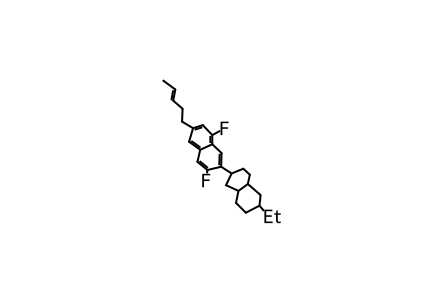 C/C=C/CCc1cc(F)c2cc(C3CCC4CC(CC)CCC4C3)c(F)cc2c1